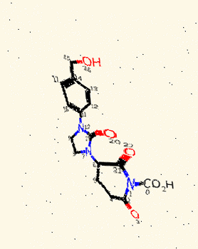 O=C(O)N1C(=O)CCC(N2CCN(c3ccc(CO)cc3)C2=O)C1=O